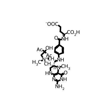 CC(=O)C(O)(C[N+](C)(C)C)C(C)=O.CN1c2c(nc(N)[nH]c2=O)NC[C@@H]1CNc1ccc(C(=O)N[C@@H](CCC(=O)[O-])C(=O)O)cc1